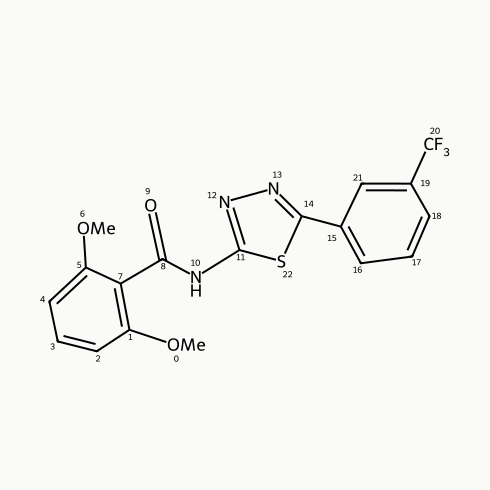 COc1cccc(OC)c1C(=O)Nc1nnc(-c2cccc(C(F)(F)F)c2)s1